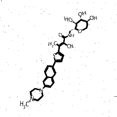 C/C(=C(/C#N)C(=O)NC[C@H]1OC[C@H](O)[C@@H](O)[C@@H]1O)c1ccc(-c2ccc3cc(N4CCN(C)CC4)ccc3c2)s1